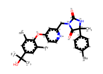 CCCc1cc(C(O)(C(F)(F)F)C(F)(F)F)cc(CCC)c1Oc1ccnc(CN2C(=O)NC(C)(c3ccc(C(C)(C)C)cc3)C2=O)c1